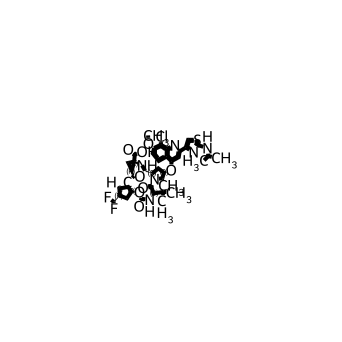 CC[C@@H]1C[C@]1(NC(=O)[C@@H]1C[C@@H](Oc2cc(-c3csc(NC(C)C)n3)nc3c(Cl)c(OC)ccc23)CN1C(=O)[C@@H](NC(=O)O[C@@H]1CC[C@@H](C(F)F)C1)C(C)(C)C)C(=O)O